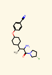 C[C@@H](C1CCC(Oc2ccc(C#N)cc2)CC1)C(N)C(=O)N1CC[C@H](F)C1